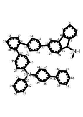 CNC1c2ccccc2-c2cc(-c3ccc(-c4ccccc4-c4ccc(N(c5ccccc5)c5ccc(-c6ccccc6)cc5)cc4)cc3)ccc21